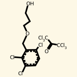 O=C(C(Cl)(Cl)Cl)C(Cl)(Cl)Cl.OCCCOCc1c(Cl)ccc(Cl)c1Cl